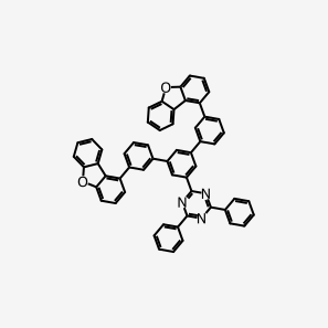 c1ccc(-c2nc(-c3ccccc3)nc(-c3cc(-c4cccc(-c5cccc6oc7ccccc7c56)c4)cc(-c4cccc(-c5cccc6oc7ccccc7c56)c4)c3)n2)cc1